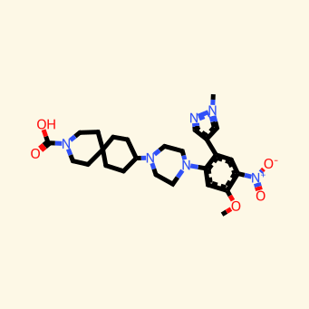 COc1cc(N2CCN(C3CCC4(CC3)CCN(C(=O)O)CC4)CC2)c(-c2cnn(C)c2)cc1[N+](=O)[O-]